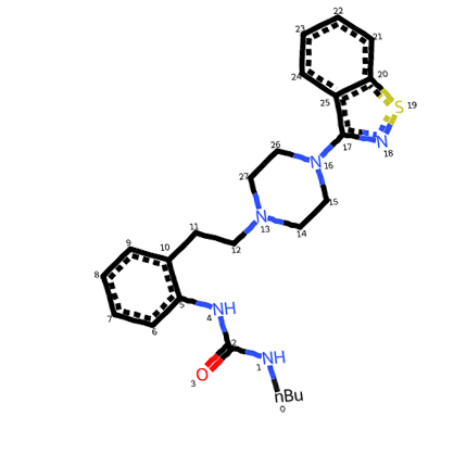 CCCCNC(=O)Nc1ccccc1CCN1CCN(c2nsc3ccccc23)CC1